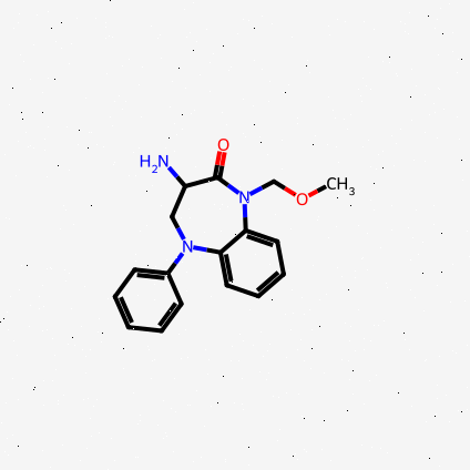 COCN1C(=O)C(N)CN(c2ccccc2)c2ccccc21